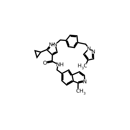 Cc1cnn(Cc2ccc(Cn3cc(C(=O)NCc4ccc5c(C)nccc5c4)c(C4CC4)n3)cc2)c1